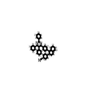 N#Cc1ccc(-c2ccc3ccccc3c2-c2ccc(-c3nc(-c4ccccc4)nc(-c4ccccc4)c3-c3ccccc3)cc2)cc1